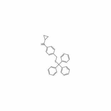 c1ccc(C(SCc2ccc(NC3CC3)cc2)(c2ccccc2)c2ccccc2)cc1